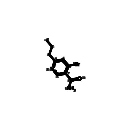 [CH2]CCc1cc(Br)c(C(N)=O)cn1